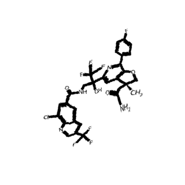 C[C@]1(C(N)=O)COc2c1cc(C(O)(CNC(=O)c1cc(Cl)c3ncc(C(F)(F)F)cc3c1)C(F)(F)F)nc2-c1ccc(F)cc1